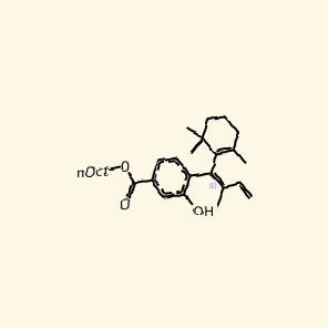 C=C/C(C)=C(\C1=C(C)CCCC1(C)C)c1ccc(C(=O)OCCCCCCCC)cc1O